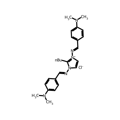 CCCCc1n(N=Cc2ccc(N(C)C)cc2)cc[n+]1N=Cc1ccc(N(C)C)cc1.[Cl-]